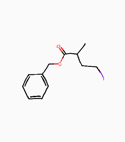 CC(CCI)C(=O)OCc1ccccc1